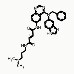 CN(C)CCCNC(=O)/C=C/C(=O)Nc1ccc2ncnc(N(Cc3ccccc3)c3ccc4[nH]cnc4c3)c2c1